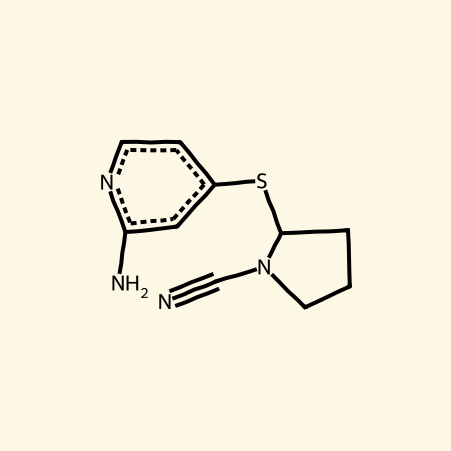 N#CN1CCCC1Sc1ccnc(N)c1